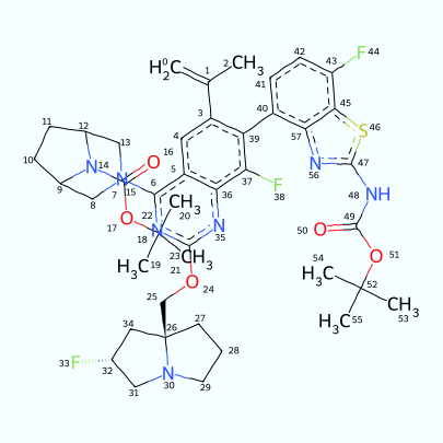 C=C(C)c1cc2c(N3CC4CCC(C3)N4C(=O)OC(C)(C)C)nc(OC[C@@]34CCCN3C[C@H](F)C4)nc2c(F)c1-c1ccc(F)c2sc(NC(=O)OC(C)(C)C)nc12